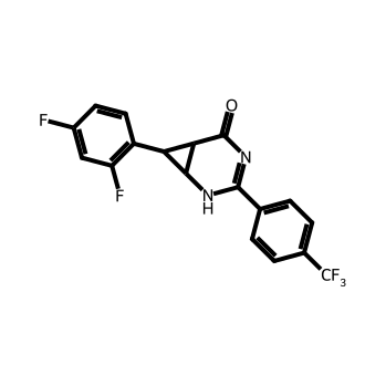 O=C1N=C(c2ccc(C(F)(F)F)cc2)NC2C1C2c1ccc(F)cc1F